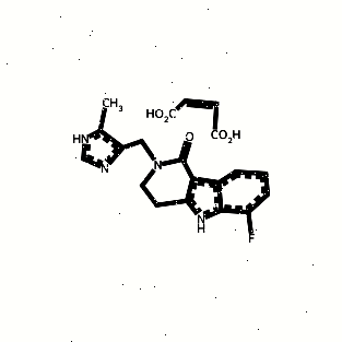 Cc1[nH]cnc1CN1CCc2[nH]c3c(F)cccc3c2C1=O.O=C(O)/C=C\C(=O)O